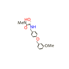 CNC(=O)[C@H](CO)NCc1ccc(OCc2cccc(OC)c2)cc1